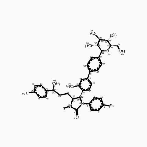 CN1C(=O)N(c2ccc(F)cc2)[C@H](c2ccc(-c3ccc(C4O[C@H](CO)[C@@H](O)[C@H](O)[C@H]4O)cc3)cc2O)[C@@H]1CC[C@H](O)c1ccc(F)cc1